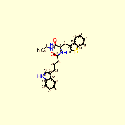 N#CCNC(=O)C(Cc1csc2ccccc12)NC(=O)CCCc1c[nH]c2ccccc12